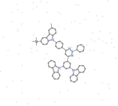 Cc1ccc2c(c1)c1cc([Si](C)(C)C)ccc1n2-c1ccc(-c2cc(-c3cc(-n4c5ccccc5c5ccccc54)cc(-n4c5ccccc5c5ccccc54)c3)nc(-c3ccccc3)n2)cc1